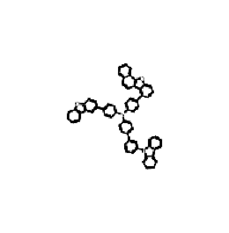 C1=Cc2c(oc3ccc(-c4ccc(N(c5ccc(-c6cccc(-n7c8ccccc8c8ccccc87)c6)cc5)c5ccc(-c6cccc7oc8c9ccccc9ccc8c67)cc5)cc4)cc23)CC1